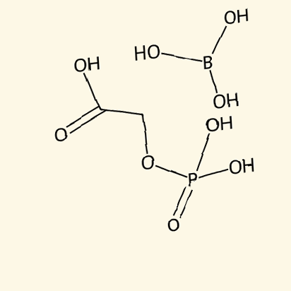 O=C(O)COP(=O)(O)O.OB(O)O